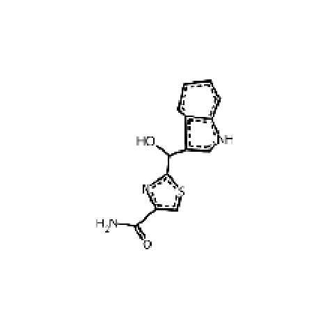 NC(=O)c1csc(C(O)c2c[nH]c3ccccc23)n1